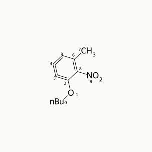 CCCCOC1=C=C=CC(C)=C1[N+](=O)[O-]